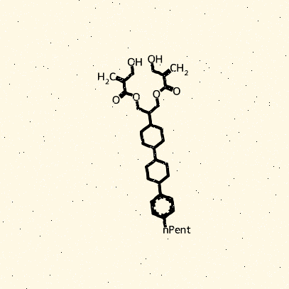 C=C(CO)C(=O)OCC(COC(=O)C(=C)CO)C1CCC(C2CCC(c3ccc(CCCCC)cc3)CC2)CC1